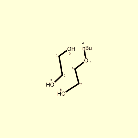 OCCO.[CH2]CCCOCCO